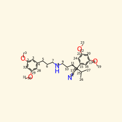 COc1cc(CCCNCCC[C@@](C#N)(c2cc(OC)cc(OC)c2)C(C)C)cc(OC)c1